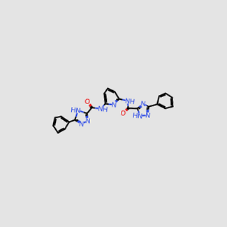 O=C(Nc1cccc(NC(=O)c2nnc(-c3ccccc3)[nH]2)n1)c1nc(-c2ccccc2)n[nH]1